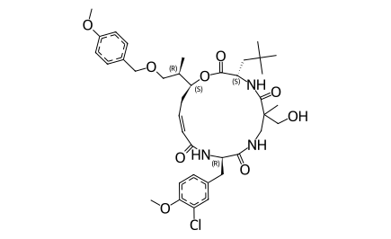 COc1ccc(COC[C@@H](C)[C@@H]2CC=CC(=O)N[C@H](Cc3ccc(OC)c(Cl)c3)C(=O)NCC(C)(CO)C(=O)N[C@@H](CC(C)(C)C)C(=O)O2)cc1